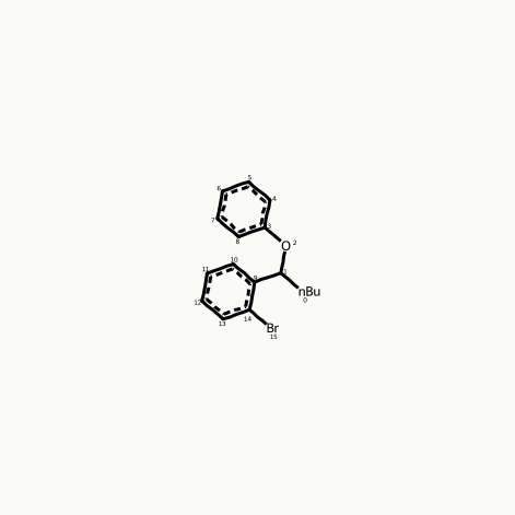 CCCCC(Oc1ccccc1)c1ccccc1Br